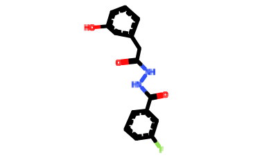 O=C(Cc1cccc(O)c1)NNC(=O)c1cccc(F)c1